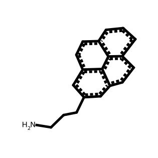 NCCCc1cc2ccc3cccc4ccc(c1)c2c34